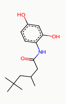 CC(CC(=O)Nc1ccc(O)cc1O)CC(C)(C)C